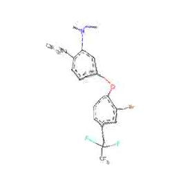 CN(C)c1cc(Oc2ccc(C(F)(F)C(F)(F)F)cc2Br)ccc1[N+](=O)[O-]